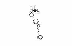 N[C@]1(CO)CC[C@@H](C2C=CC(OCCCc3cccs3)=CC2)C1